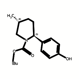 C[C@@H]1CC[C@@H](c2ccc(O)cc2)N(C(=O)OC(C)(C)C)C1